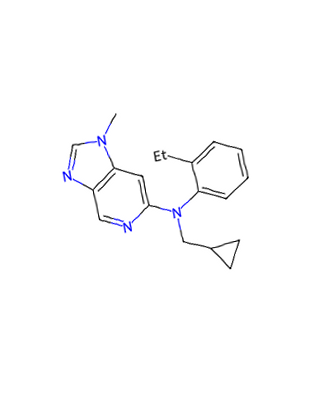 CCc1ccccc1N(CC1CC1)c1cc2c(cn1)ncn2C